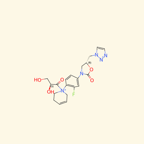 O=C1O[C@@H](Cn2ccnn2)CN1c1ccc([N+]2(C(=O)[C@@H](O)CO)CC=CCC2)c(F)c1